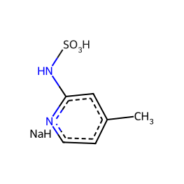 Cc1ccnc(NS(=O)(=O)O)c1.[NaH]